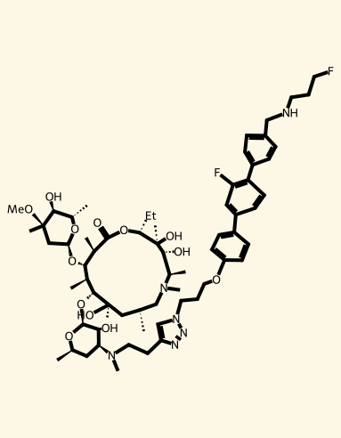 CC[C@H]1OC(=O)[C@H](C)[C@@H](O[C@H]2C[C@@](C)(OC)[C@@H](O)[C@H](C)O2)[C@H](C)[C@@H](O[C@@H]2O[C@H](C)C[C@H](N(C)CCc3cn(CCCOc4ccc(-c5ccc(-c6ccc(CNCCCF)cc6)c(F)c5)cc4)nn3)[C@H]2O)[C@](C)(O)C[C@@H](C)CN(C)[C@H](C)[C@@H](O)[C@]1(C)O